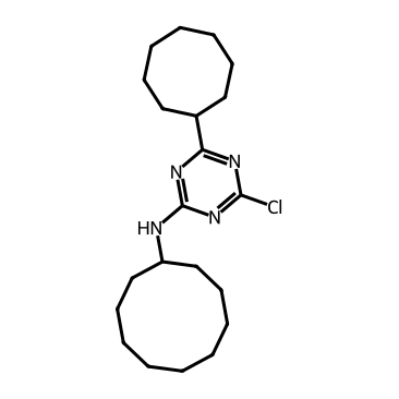 Clc1nc(NC2CCCCCCCCC2)nc(C2CCCCCCC2)n1